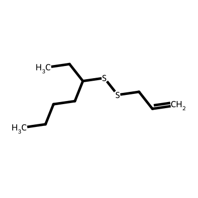 C=CCSSC(CC)CCCC